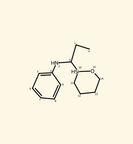 CCC(Nc1ccccc1)[SiH]1CCCCO1